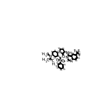 CC(C)N(C)[C@@H]1CC[C@H](N2CC[C@H](Nc3ncnc4ccc(C(F)(F)F)cc34)C2=O)[C@@H](CS(=O)(=O)c2ccccc2)C1